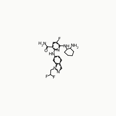 NC(=O)c1cc(F)c(NC2CCCCC2N)nc1Nc1ccc2cnn(CC(F)F)c2c1